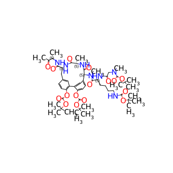 CC(=O)[C@H](C)NC(=O)[C@@H]1Cc2ccc(OC(=O)OC(C)(C)C)c(c2)-c2cc(ccc2OC(=O)OC(C)(C)C)[C@H](N(C)C(=O)[C@H](CCCCNC(=O)OC(C)(C)C)NC(=O)CN(C)C(=O)OC(C)(C)C)C(=O)N[C@@H](C)C(=O)N1